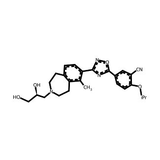 Cc1c(-c2noc(-c3ccc(OC(C)C)c(C#N)c3)n2)ccc2c1CCN(C[C@H](O)CO)CC2